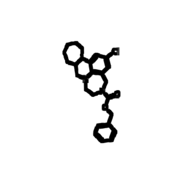 O=C(OCc1ccccc1)N1CCN2CC3CCCCCC3c3cc(Cl)cc(c32)C1